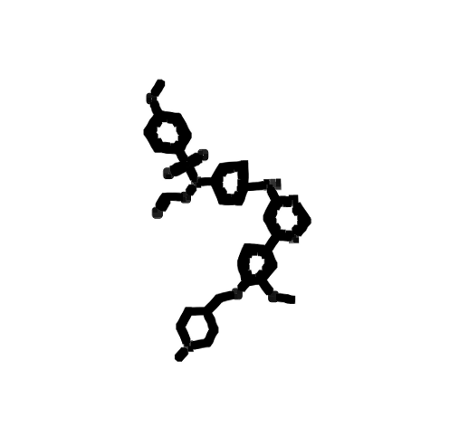 COc1ccc(S(=O)(=O)N(OC=O)c2ccc(Nc3cc(-c4ccc(OCC5CCN(C)CC5)c(OC)c4)ncn3)cc2)cc1